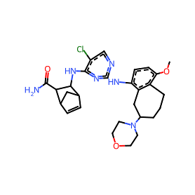 COc1ccc(Nc2ncc(Cl)c(NC3C4C=CC(C4)C3C(N)=O)n2)c2c1CCCC(N1CCOCC1)C2